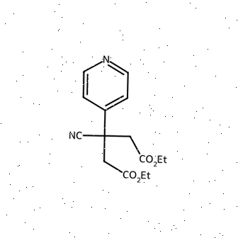 CCOC(=O)CC(C#N)(CC(=O)OCC)c1ccncc1